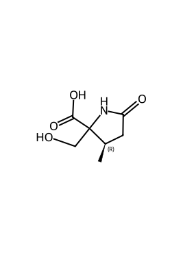 C[C@@H]1CC(=O)NC1(CO)C(=O)O